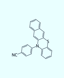 N#Cc1ccc(N2c3ccccc3Sc3cc4ccccc4cc32)cc1